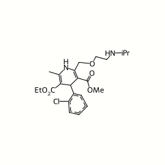 CCOC(=O)C1=C(C)NC(COCCNC(C)C)=C(C(=O)OC)C1c1ccccc1Cl